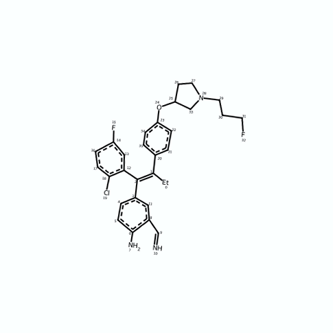 CC/C(=C(\c1ccc(N)c(C=N)c1)c1cc(F)ccc1Cl)c1ccc(OC2CCN(CCCF)C2)cc1